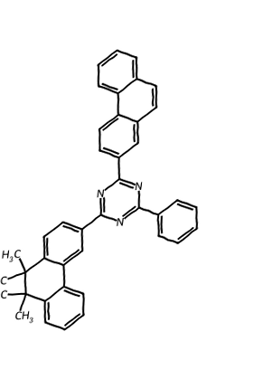 CC1(C)c2ccccc2-c2cc(-c3nc(-c4ccccc4)nc(-c4ccc5c(ccc6ccccc65)c4)n3)ccc2C1(C)C